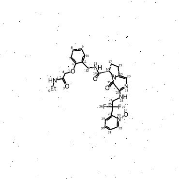 CCNC(=O)COc1ccccc1CNC(=O)[C@H]1CCc2cnc(NCC(F)(F)c3cccc[n+]3[O-])c(=O)n21